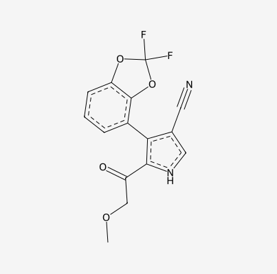 COCC(=O)c1[nH]cc(C#N)c1-c1cccc2c1OC(F)(F)O2